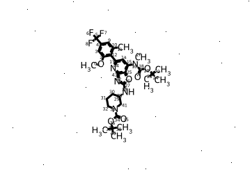 COc1cc(C(F)(F)F)cc(C)c1-c1cc(N(C)C(=O)OC(C)(C)C)c2oc(N[C@@H]3CCCN(C(=O)OC(C)(C)C)C3)nc2n1